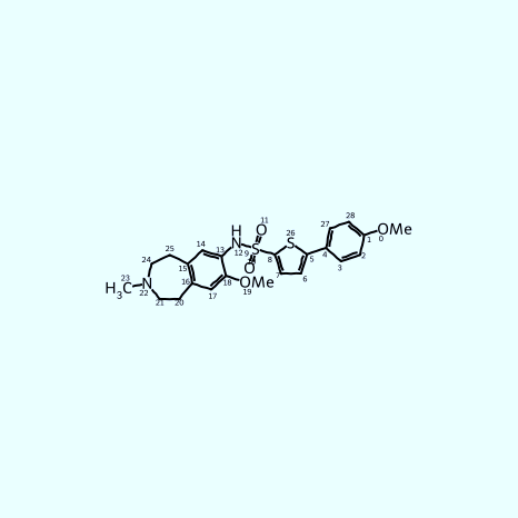 COc1ccc(-c2ccc(S(=O)(=O)Nc3cc4c(cc3OC)CCN(C)CC4)s2)cc1